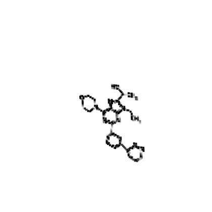 CCn1c(C(C)O)nc2c(N3CCOCC3)nc(-c3cccc(-c4cccnn4)c3)nc21